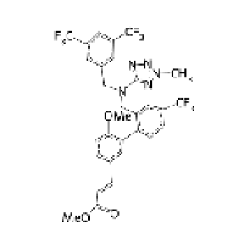 COC(=O)C=Cc1ccc(OC)c(-c2ccc(C(F)(F)F)cc2CN(Cc2cc(C(F)(F)F)cc(C(F)(F)F)c2)c2nnn(C)n2)c1